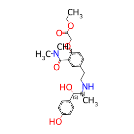 CCOC(=O)COc1ccc(CCN[C@@H](C)[C@@H](O)c2ccc(O)cc2)cc1C(=O)N(C)C